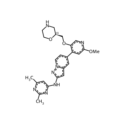 COc1cc(-c2ccn3nc(Nc4cc(C)nc(C)n4)cc3c2)c(OC[C@@H]2CNCCO2)cn1